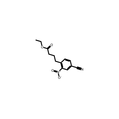 CCOC(=O)CCCc1ccc(C#N)cc1[N+](=O)[O-]